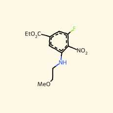 CCOC(=O)c1cc(F)c([N+](=O)[O-])c(NCCOC)c1